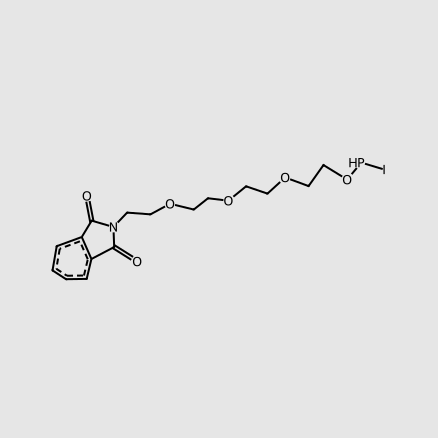 O=C1c2ccccc2C(=O)N1CCOCCOCCOCCOPI